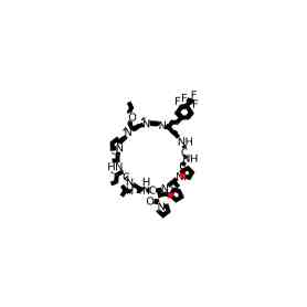 CCCOCC1=CN(C)C=CN=C(CCc2ccc(C(F)(F)F)c(F)c2)C=CNCCNCC2(CCCC2)NC(C)[C@H](C2CCCC2)N2C(C)[C@H](C(=O)N3CCCC3)C2CNC(C)[C@H](CC(C)C)NC[C@H]([C@@H](C)CC)NC(C)[C@H](C)N2CCCC2=CN1C